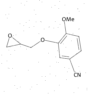 COc1ccc(C#N)cc1OCC1CO1